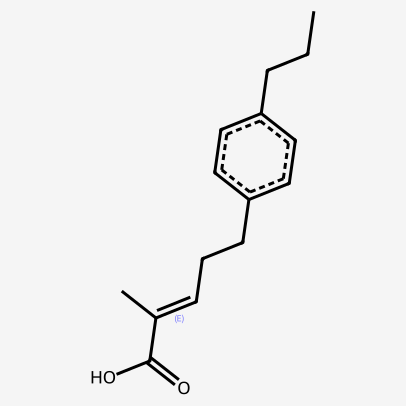 CCCc1ccc(CC/C=C(\C)C(=O)O)cc1